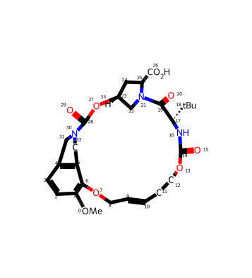 COc1ccc2c3c1OC/C=C/CCOC(=O)N[C@@H](C(C)(C)C)C(=O)N1C[C@@H](CC1C(=O)O)OC(=O)N(C2)C3